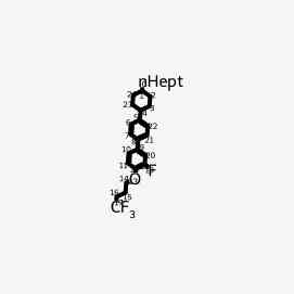 CCCCCCCC1CCC(c2ccc(-c3ccc(OCCCC(F)(F)F)c(F)c3)cc2)CC1